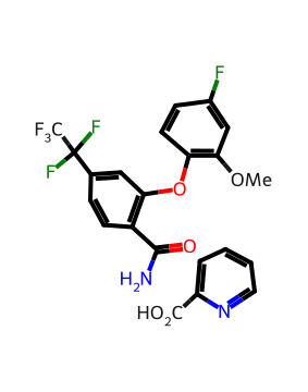 COc1cc(F)ccc1Oc1cc(C(F)(F)C(F)(F)F)ccc1C(N)=O.O=C(O)c1ccccn1